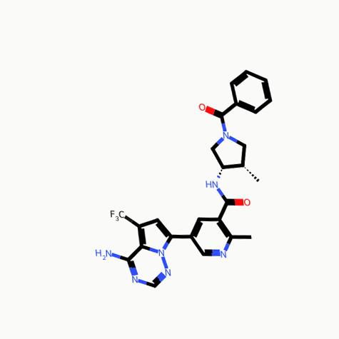 Cc1ncc(-c2cc(C(F)(F)F)c3c(N)ncnn23)cc1C(=O)N[C@@H]1CN(C(=O)c2ccccc2)C[C@@H]1C